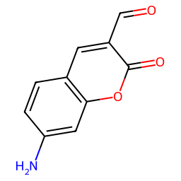 Nc1ccc2cc(C=O)c(=O)oc2c1